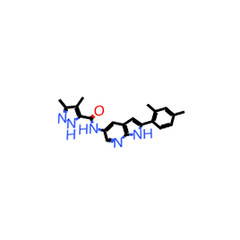 Cc1ccc(-c2cc3cc(NC(=O)c4[nH]nc(C)c4C)cnc3[nH]2)c(C)c1